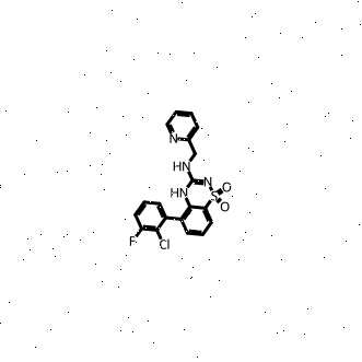 O=S1(=O)N=C(NCc2ccccn2)Nc2c(-c3cccc(F)c3Cl)cccc21